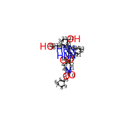 O=C(OCc1ccccc1)N1CCC(S(=O)(=O)Nc2nc3ccccc3nc2Nc2cc(O)ccc2CCCO)CC1